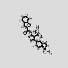 Cn1ccc2cc(-c3csc(NC(=O)c4cc5ccccc5o4)c3C(=O)O)ccc21